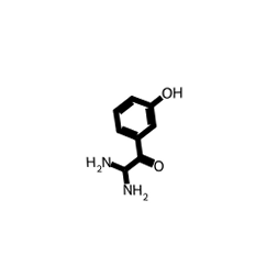 NC(N)C(=O)c1cccc(O)c1